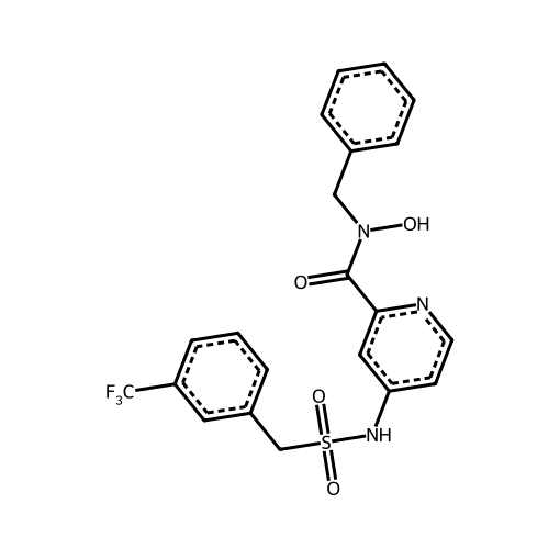 O=C(c1cc(NS(=O)(=O)Cc2cccc(C(F)(F)F)c2)ccn1)N(O)Cc1ccccc1